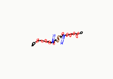 O=C(CCSSCCC(=O)NCCOCCOCCOCCC(=O)OCc1ccccc1)NCCOCCOCCOCCC(=O)OCc1ccccc1